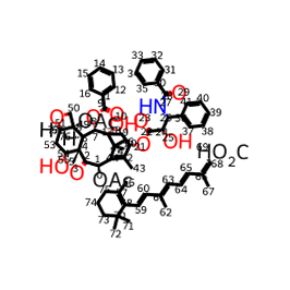 CC(=O)O[C@H]1C(=O)[C@@]2(C)[C@H]([C@H](OC(=O)c3ccccc3)[C@]3(O)C[C@H](OC(=O)[C@H](O)[C@@H](NC(=O)c4ccccc4)c4ccccc4)C(C)=C1C3(C)C)[C@]1(OC(C)=O)CO[C@@H]1C[C@@H]2O.CC1=C(/C=C/C(C)=C/C=C/C(C)=C\C(=O)O)C(C)(C)CCC1